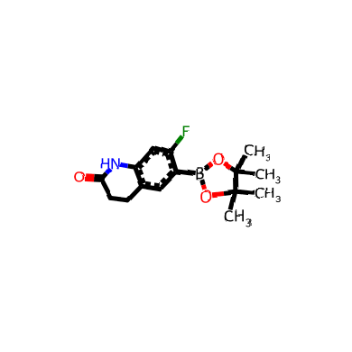 CC1(C)OB(c2cc3c(cc2F)NC(=O)CC3)OC1(C)C